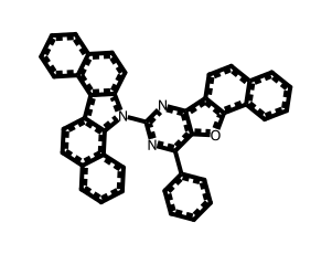 c1ccc(-c2nc(-n3c4ccc5ccccc5c4c4ccc5ccccc5c43)nc3c2oc2c4ccccc4ccc32)cc1